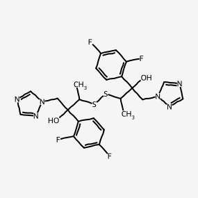 CC(SSC(C)C(O)(Cn1cncn1)c1ccc(F)cc1F)C(O)(Cn1cncn1)c1ccc(F)cc1F